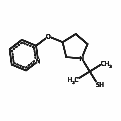 CC(C)(S)N1CCC(Oc2ccccn2)C1